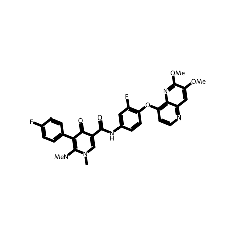 CNc1c(-c2ccc(F)cc2)c(=O)c(C(=O)Nc2ccc(Oc3ccnc4cc(OC)c(OC)nc34)c(F)c2)cn1C